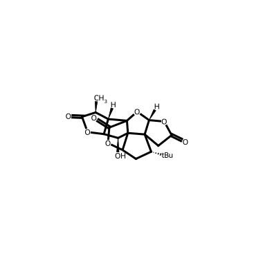 C[C@@H]1C(=O)OC2[C@H]1C13O[C@@H]4OC(=O)CC45[C@H](C(C)(C)C)CC(OC1=O)C35[C@H]2O